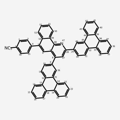 N#Cc1ccc(-c2cc3c(-c4ccc5c6ccccc6c6ccccc6c5c4)cc(-c4ccc5c6ccccc6c6ccccc6c5c4)nc3c3ccccc23)cc1